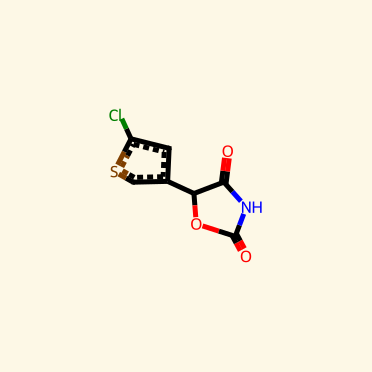 O=C1NC(=O)C(c2csc(Cl)c2)O1